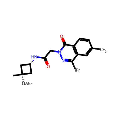 CO[C@]1(C)C[C@H](NC(=O)Cn2nc(C(C)C)c3cc(C(F)(F)F)ccc3c2=O)C1